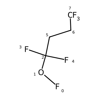 FOC(F)(F)CCC(F)(F)F